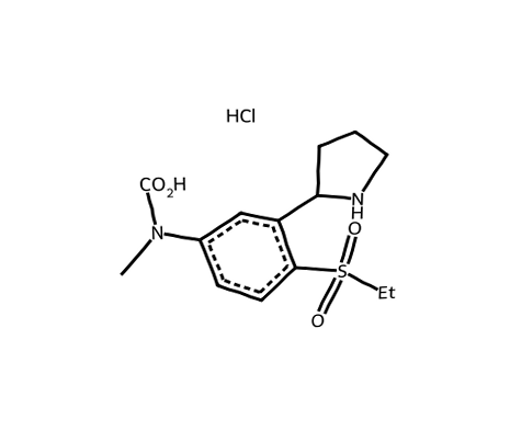 CCS(=O)(=O)c1ccc(N(C)C(=O)O)cc1C1CCCN1.Cl